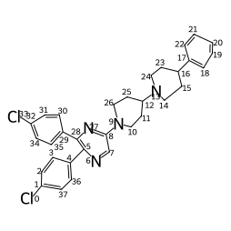 Clc1ccc(-c2ncc(N3CCC(N4CCC(c5ccccc5)CC4)CC3)nc2-c2ccc(Cl)cc2)cc1